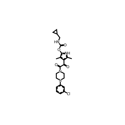 Cc1[nH]c(OC(=O)NCC2CC2)c(C)c1C(=O)C(=O)N1CCN(c2cccc(Cl)c2)CC1